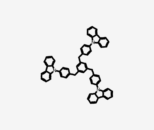 C1=CC2c3ccccc3N(c3ccc(Cc4cc(Cc5ccc(-n6c7ccccc7c7ccccc76)cc5)cc(Cc5ccc(-n6c7ccccc7c7ccccc76)cc5)c4)cc3)C2C=C1